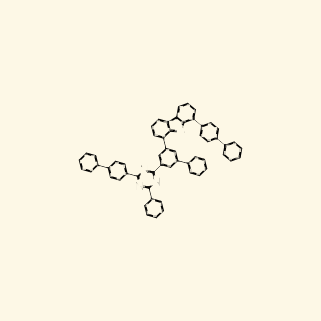 c1ccc(-c2ccc(-c3nc(-c4ccccc4)nc(-c4cc(-c5ccccc5)cc(-c5cccc6c5oc5c(-c7ccc(-c8ccccc8)cc7)cccc56)c4)n3)cc2)cc1